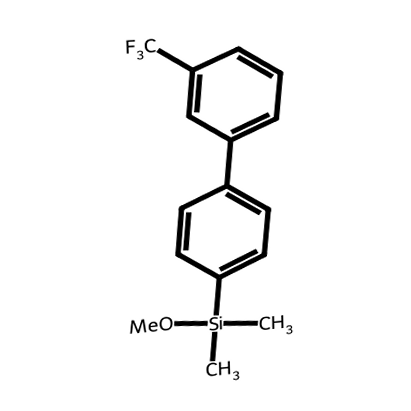 CO[Si](C)(C)c1ccc(-c2cccc(C(F)(F)F)c2)cc1